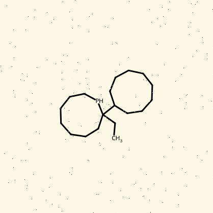 CCC1(C2CCCCCCCC2)CCCCCCCP1